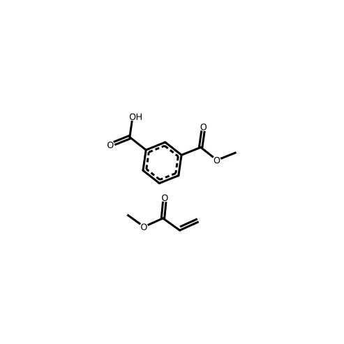 C=CC(=O)OC.COC(=O)c1cccc(C(=O)O)c1